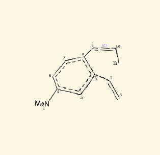 C=Cc1cc(NC)ccc1/C=C\C